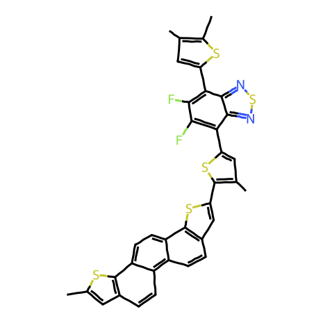 Cc1cc2ccc3c4ccc5cc(-c6sc(-c7c(F)c(F)c(-c8cc(C)c(C)s8)c8nsnc78)cc6C)sc5c4ccc3c2s1